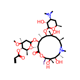 C=CC(=O)O[C@H]1[C@H](C)OC(O[C@H]2[C@H](C)[C@@H](OC3O[C@H](C)C[C@H](N(C)C)[C@H]3O)[C@](C)(O)C[C@@H](C)CN(C)[C@H](C)[C@@H](O)[C@](C)(O)[C@@H](I)OC(=O)[C@@H]2C)C[C@]1(C)OC